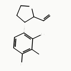 C=CC1OCC[C@H]1c1ccc(F)c(F)c1CC